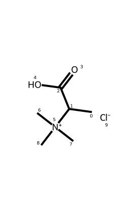 CC(C(=O)O)[N+](C)(C)C.[Cl-]